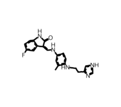 Cc1cc(NC=C2C(=O)Nc3ccc(F)cc32)ccc1NCCc1c[nH]cn1